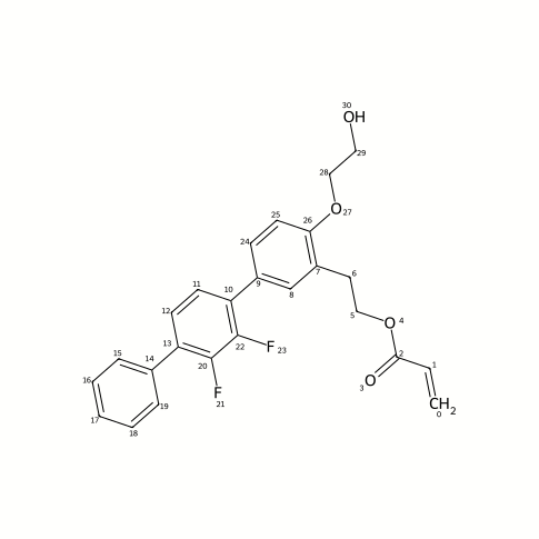 C=CC(=O)OCCc1cc(-c2ccc(-c3ccccc3)c(F)c2F)ccc1OCCO